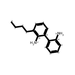 CCCCc1cccc(-c2ccccc2N)c1N